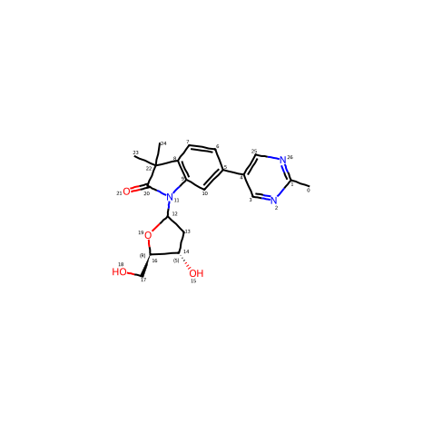 Cc1ncc(-c2ccc3c(c2)N(C2C[C@H](O)[C@@H](CO)O2)C(=O)C3(C)C)cn1